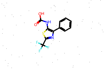 O=C(O)Nc1sc(C(F)(F)F)nc1-c1ccccc1